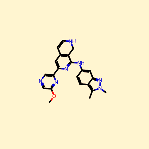 COc1cncc(-c2cc3c(c(Nc4ccc5c(C)n(C)nc5c4)n2)CNC=C3)n1